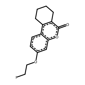 O=c1oc2cc(OCCI)ccc2c2c1CCCC2